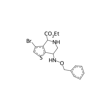 CCOC(=O)C1NCC(NOCc2ccccc2)c2scc(Br)c21